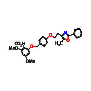 COc1cc(OC)c(C(=O)O)c(OCc2ccc(OCCc3nc(-c4ccccc4)oc3C)cc2)c1